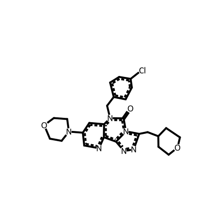 O=c1n(Cc2ccc(Cl)cc2)c2cc(N3CCOCC3)cnc2c2nnc(CC3CCOCC3)n12